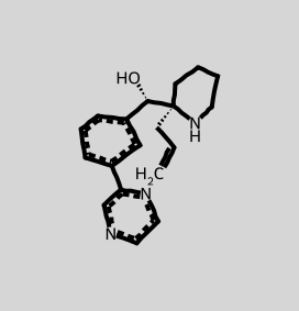 C=CC[C@]1([C@@H](O)c2cccc(-c3cnccn3)c2)CCCCN1